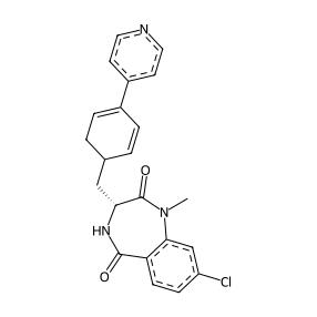 CN1C(=O)[C@@H](CC2C=CC(c3ccncc3)=CC2)NC(=O)c2ccc(Cl)cc21